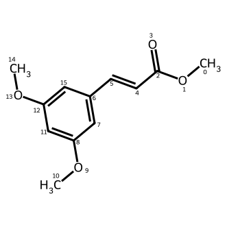 COC(=O)/C=C/c1cc(OC)cc(OC)c1